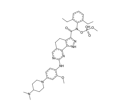 CCc1cccc(CC)c1N(OP(=O)(O)OC)C(=O)c1n[nH]c2c1CCc1cnc(Nc3ccc(N4CCC(N(C)C)CC4)cc3OC)nc1-2